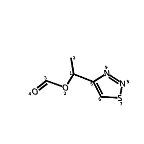 CC(OC=O)c1csnn1